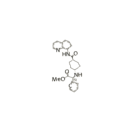 COC(=O)[C@@H](N[C@H]1CC[C@H](C(=O)Nc2cccc3cccnc23)CC1)c1ccccc1